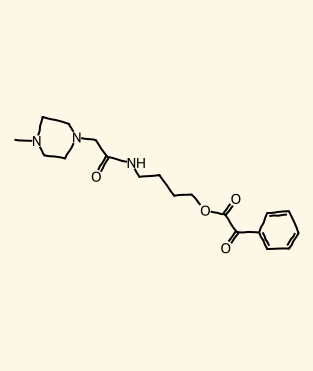 CN1CCN(CC(=O)NCCCCOC(=O)C(=O)c2ccccc2)CC1